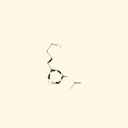 CC(C)Oc1cncc(C=CC[C@H](C)N)c1